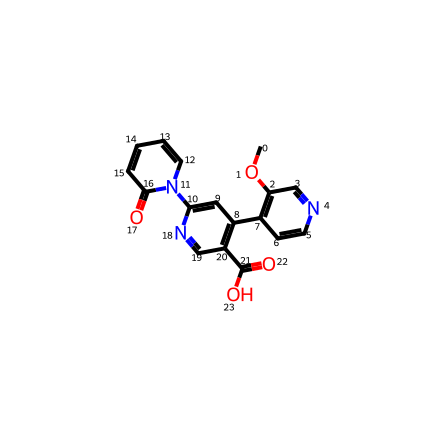 COc1cnccc1-c1cc(-n2ccccc2=O)ncc1C(=O)O